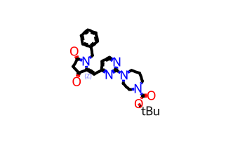 CC(C)(C)OC(=O)N1CCCN(c2nccc(/C=C3/C(=O)CC(=O)N3Cc3ccccc3)n2)CC1